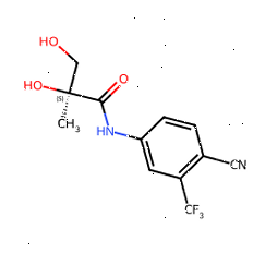 C[C@](O)(CO)C(=O)Nc1ccc(C#N)c(C(F)(F)F)c1